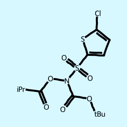 CC(C)C(=O)ON(C(=O)OC(C)(C)C)S(=O)(=O)c1ccc(Cl)s1